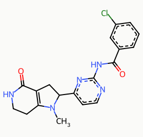 CN1C2=C(CC1c1ccnc(NC(=O)c3cccc(Cl)c3)n1)C(=O)NCC2